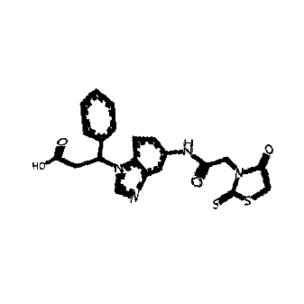 O=C(O)CC(c1ccccc1)n1cnc2cc(NC(=O)CN3C(=O)CSC3=S)ccc21